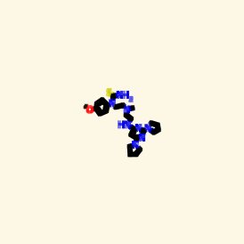 COc1ccc(N(CCN(C)CCNc2cc(N3CCCC3)nc(N3CCCC3)n2)C(N)=S)cc1